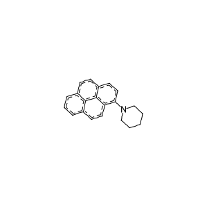 c1cc2ccc3ccc(N4CCCCC4)c4ccc(c1)c2c34